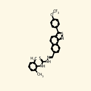 Cc1cccc(C)c1NC(=S)NN=Cc1ccc2c(ccc3c(-c4ccc(OC(F)(F)F)cc4)snc32)c1